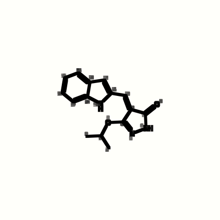 CC(C)OC1=NNC(=O)C1=Cc1cc2ccccc2[nH]1